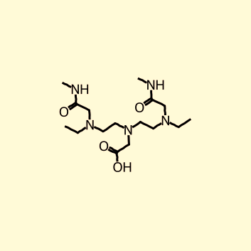 CCN(CCN(CCN(CC)CC(=O)NC)CC(=O)O)CC(=O)NC